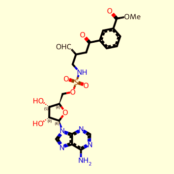 COC(=O)c1cccc(C(=O)CC(C=O)CNS(=O)(=O)OC[C@H]2O[C@@H](n3cnc4c(N)ncnc43)[C@H](O)[C@@H]2O)c1